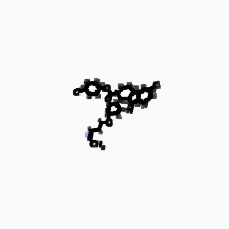 C/C=C\CCOc1ccc([C@H]2c3[nH]c4ccc(Cl)cc4c3CCN2C(=O)Oc2ccc(Cl)cc2)cc1